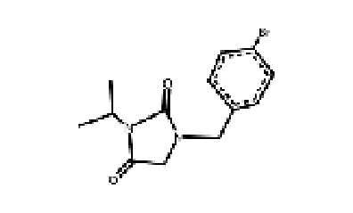 CC(C)N1C(=O)CN(Cc2ccc(Br)cc2)C1=O